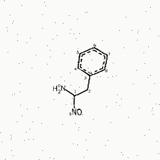 NC(Cc1ccccc1)N=O